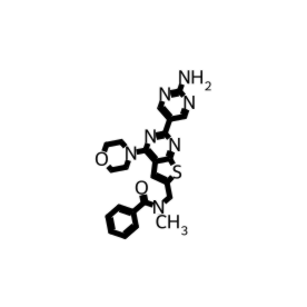 CN(Cc1cc2c(N3CCOCC3)nc(-c3cnc(N)nc3)nc2s1)C(=O)c1ccccc1